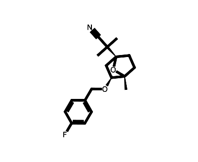 CC(C)(C#N)[C@@]12CC[C@@](C)(O1)[C@@H](OCc1ccc(F)cc1)C2